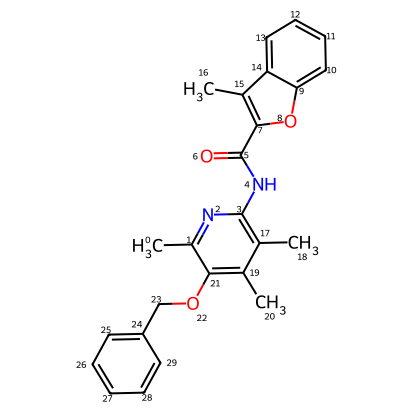 Cc1nc(NC(=O)c2oc3ccccc3c2C)c(C)c(C)c1OCc1ccccc1